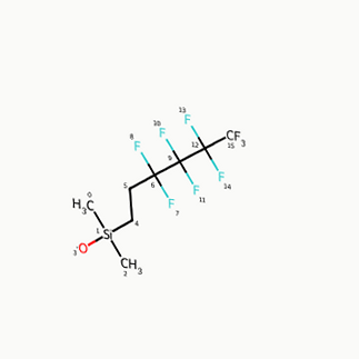 C[Si](C)([O])CCC(F)(F)C(F)(F)C(F)(F)C(F)(F)F